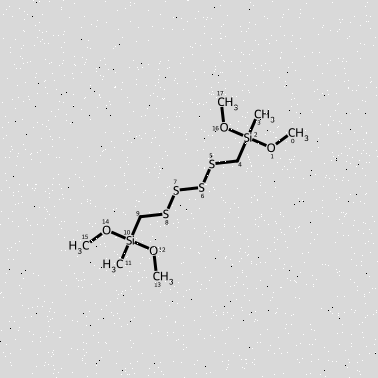 CO[Si](C)(CSSSSC[Si](C)(OC)OC)OC